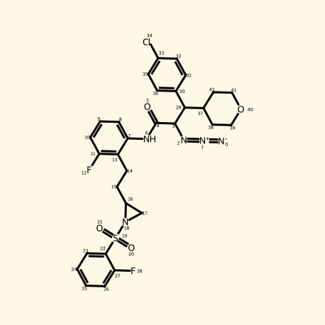 [N-]=[N+]=NC(C(=O)Nc1cccc(F)c1CCC1CN1S(=O)(=O)c1ccccc1F)C(c1ccc(Cl)cc1)C1CCOCC1